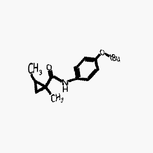 CC1CC1(C)C(=O)Nc1ccc(OC(C)(C)C)cc1